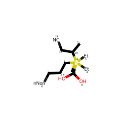 CCCCCCCCCCCCS(CC)(CC)(=C(O)O)C(C)CC#N